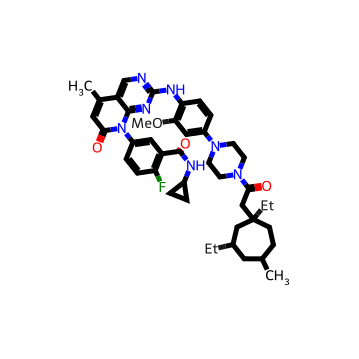 CCC1CC(C)CCC(CC)(CC(=O)N2CCN(c3ccc(Nc4ncc5c(C)cc(=O)n(-c6ccc(F)c(C(=O)NC7CC7)c6)c5n4)c(OC)c3)CC2)C1